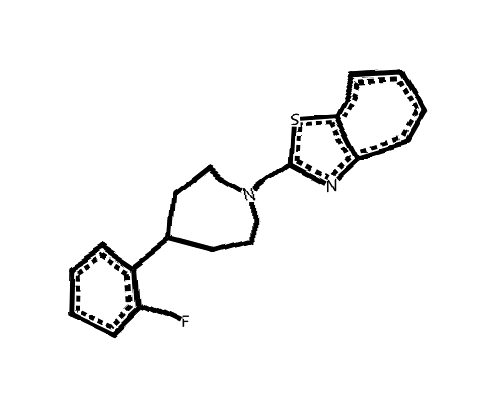 Fc1ccccc1C1CCN(c2nc3ccccc3s2)CC1